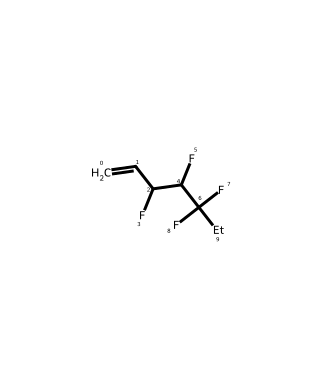 C=CC(F)C(F)C(F)(F)CC